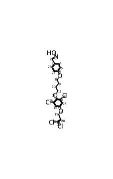 ON=Cc1ccc(OCCCCOc2c(Cl)cc(OCC=C(Cl)Cl)cc2Cl)cc1